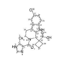 Cc1[nH]cnc1C(=O)N1CCc2c([nH]c3ccc(Cl)cc23)C1C1(C(=O)O)CCC1